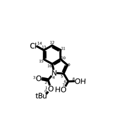 CC(C)(C)OC(=O)n1c(C(O)O)cc2ccc(Cl)cc21